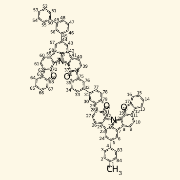 Cc1ccc(-c2cc3c4ccc5c6ccccc6oc5c4n4c3c(c2)c2ccc3c5cc(-c6ccc7oc8c(ccc9c%10cc(-c%11cccc(-c%12ccccc%12)c%11)cc%11c%12ccc%13c%14ccccc%14oc%13c%12n(c%11%10)c98)c7c6)ccc5oc3c24)cc1